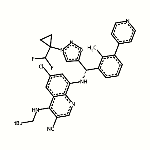 Cc1c(-c2ccncc2)cccc1[C@H](Nc1cc(Cl)cc2c(NCC(C)(C)C)c(C#N)cnc12)c1cn(C2(C(F)F)CC2)nn1